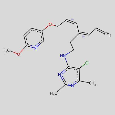 C=C/C=C(\C=C/COc1ccc(OC(F)(F)F)nc1)CCNc1nc(C)nc(C)c1Cl